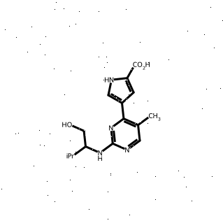 Cc1cnc(NC(CO)C(C)C)nc1-c1c[nH]c(C(=O)O)c1